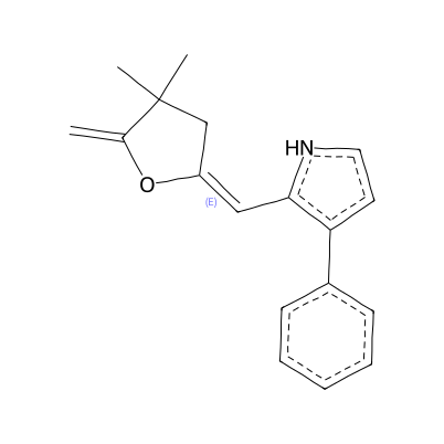 C=C1O/C(=C/c2[nH]ccc2-c2ccccc2)CC1(C)C